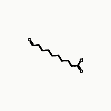 O=CCCCCCCCCC(=O)Cl